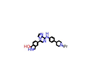 CC(C)N1CCC(c2ccc(Nc3ncc(-c4ccc5c(c4)CNC5O)n4ccnc34)cc2)CC1